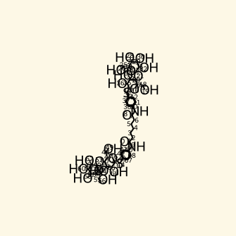 O=C(CCCCCC(=O)Nc1ccc(S[C@@H]2O[C@H](CO)[C@@H](O[C@@H]3O[C@H](CO)[C@@H](O)[C@H](O)[C@H]3O)[C@H](O)[C@H]2O)cc1)Nc1ccc(S[C@@H]2O[C@H](CO)[C@@H](O[C@@H]3O[C@H](CO)[C@@H](O)[C@H](O)[C@H]3O)[C@H](O)[C@H]2O)cc1